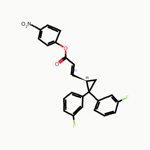 O=C(/C=C/[C@H]1CC1(c1cccc(F)c1)c1cccc(F)c1)Oc1ccc([N+](=O)[O-])cc1